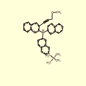 COCC#Cc1cc2ccccc2cc1[BH-](c1ccc2ccccc2c1)c1ccc2ccccc2c1.C[N+](C)(C)C